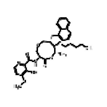 CCCCCO[C@@H]1[C@@H](Cc2cccc3ccccc23)COC[C@H](NC(=O)c2nccc(OC)c2O)C(=O)O[C@H]1C